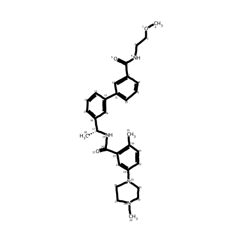 COCCNC(=O)c1cccc(-c2cccc([C@@H](C)NC(=O)c3cc(N4CCN(C)CC4)ccc3C)c2)c1